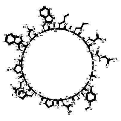 CCCC[C@H]1C(=O)N(C)[C@@H](CCCC)C(=O)N[C@@H](CCC(=O)O)C(=O)N[C@H](C(=O)NCC(N)=O)CSCC(=O)N[C@@H](Cc2ccc(OC)cc2)C(=O)N(C)[C@@H](C)C(=O)N[C@@H](CC(=O)O)C(=O)N2CCCC2C(=O)N[C@@H](Cc2cnc[nH]2)C(=O)N[C@@H](CCC(=O)O)C(=O)N2C[C@H](O)C[C@H]2C(=O)N[C@@H](Cc2c[nH]c3ccccc23)C(=O)N[C@@H](CC(=O)O)C(=O)N[C@@H](Cc2c[nH]c3ccccc23)C(=O)N1C